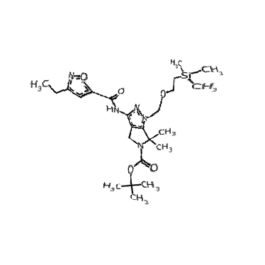 CCc1cc(C(=O)Nc2nn(COCC[Si](C)(C)C)c3c2CN(C(=O)OC(C)(C)C)C3(C)C)on1